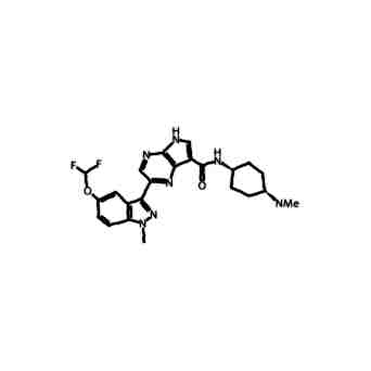 CN[C@H]1CC[C@@H](NC(=O)c2c[nH]c3ncc(-c4nn(C)c5ccc(OC(F)F)cc45)nc23)CC1